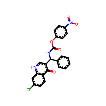 O=C(NC(c1ccccc1)c1c[nH]c2cc(Cl)ccc2c1=O)Oc1ccc([N+](=O)[O-])cc1